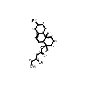 CC(C)C1CCC2C(=CCC3C(C)(OC(=O)CC(O)CO)CCCC23C)C1